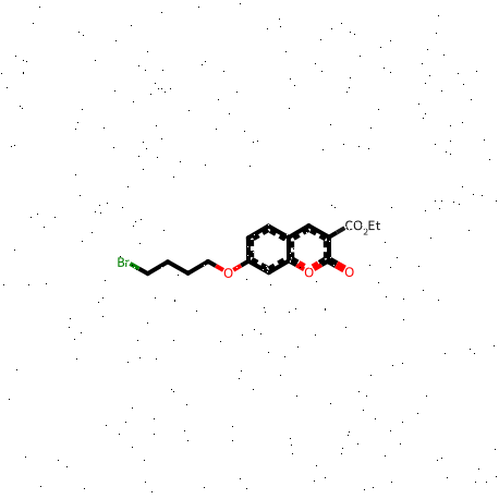 CCOC(=O)c1cc2ccc(OCCCCBr)cc2oc1=O